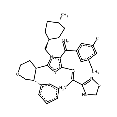 C=C(c1cc(C)cc(Cl)c1)c1c(/N=C(\N)C2=NOCN2)nc(N2CCOC[C@H]2c2ccccc2)n1C[C@H]1CC[C@H](C)CC1